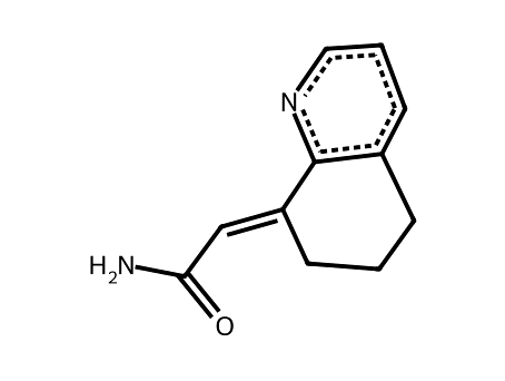 NC(=O)C=C1CCCc2cccnc21